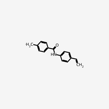 [CH2]c1ccc(C(=O)Nc2ccc(C=C)cc2)cc1